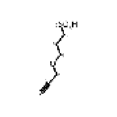 C#CCOCCCS(=O)(=O)O